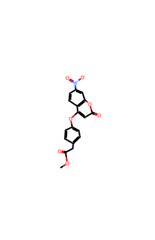 COC(=O)Cc1ccc(Oc2cc(=O)oc3cc([N+](=O)[O-])ccc23)cc1